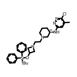 Cc1cc(N[C@@H]2CCCN(CCN3CC(O[Si](c4ccccc4)(c4ccccc4)C(C)(C)C)C3)C2)nnc1Cl